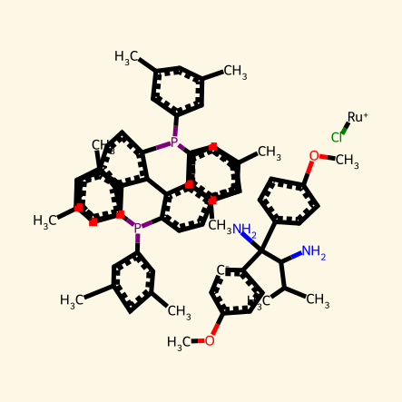 COc1c[c-]c(C(N)(c2ccc(OC)cc2)C(N)C(C)C)cc1.Cc1cc(C)cc(P(c2cc(C)cc(C)c2)c2ccc3ccccc3c2-c2c(P(c3cc(C)cc(C)c3)c3cc(C)cc(C)c3)ccc3ccccc23)c1.[Cl][Ru+]